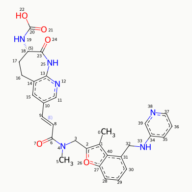 Cc1c(CN(C)C(=O)/C=C/c2cnc3c(c2)CC[C@H](NC(=O)O)C(=O)N3)oc2cccc(CNc3cccnc3)c12